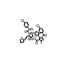 COC(=O)c1c(C)nn(C(=O)c2ccc(Cl)cc2)c1-c1ccno1.O=C(Nc1ccc(Cl)cc1)n1nccc1C=Cc1cccs1